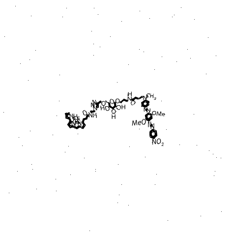 COc1cc(/N=N/c2ccc([N+](=O)[O-])cc2)c(OC)cc1/N=N/c1ccc(N(C)CCCC(=O)NCCCO[C@@H]2O[C@H](COCc3cn(CCNC(=O)CCC4=[N+]5C(=Cc6ccc(-c7ccc[nH]7)n6[B-]5(F)F)C=C4)nn3)[C@@H](O)[C@H](O)[C@H]2O)cc1